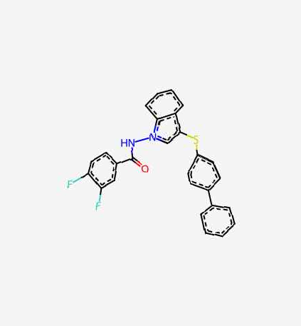 O=C(Nn1cc(Sc2ccc(-c3ccccc3)cc2)c2ccccc21)c1ccc(F)c(F)c1